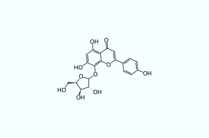 O=c1cc(-c2ccc(O)cc2)oc2c(OC3O[C@H](CO)[C@H](O)[C@H]3O)c(O)cc(O)c12